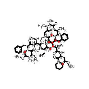 CCCCOC(=O)C[C@H](NC(=O)[C@H](C(C)C)N(C)C(=O)[C@H](Cc1ccccc1)N(C)C(=O)[C@H](C)NC(=O)[C@H]([C@@H](C)CC)N(C)C(=O)CN(C)C(=O)[C@@H](NC(=O)[C@H](CC(C)C)N(C)C(=O)[C@H](CC(C)C)NC(=O)[C@H](Cc1ccccc1)N(C)C(=O)[C@H](C)N(C)C(=O)OC(C)(C)C)[C@@H](C)OCCCC)C(=O)N1CCCCC1